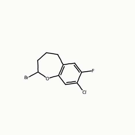 Fc1cc2c(cc1Cl)OC(Br)CCC2